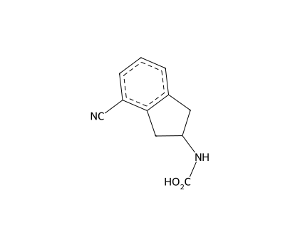 N#Cc1cccc2c1CC(NC(=O)O)C2